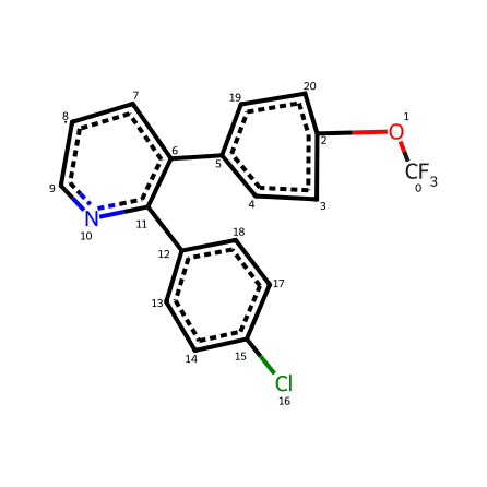 FC(F)(F)Oc1ccc(-c2c[c]cnc2-c2ccc(Cl)cc2)cc1